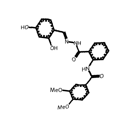 COc1ccc(C(=O)Nc2ccccc2C(=O)NN=Cc2ccc(O)cc2O)cc1OC